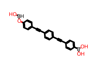 OBOc1ccc(C#Cc2ccc(C#Cc3ccc(B(O)O)cc3)cc2)cc1